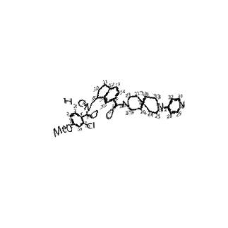 COc1ccc(C(=O)N(C)C2CCc3ccc(C(=O)N4CCC5(CC4)CCN(c4ccncc4)CC5)cc32)c(Cl)c1